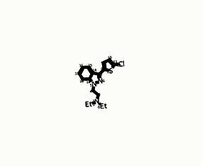 CCN(CC)CCN1N=C(c2ccc(Cl)s2)C2=CC=CCC21